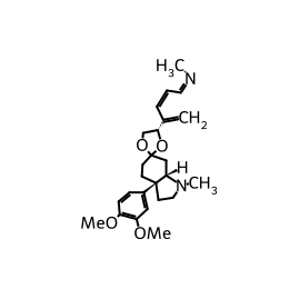 C=C(/C=C\C=N/C)[C@H]1COC2(CC[C@@]3(c4ccc(OC)c(OC)c4)CCN(C)[C@H]3C2)O1